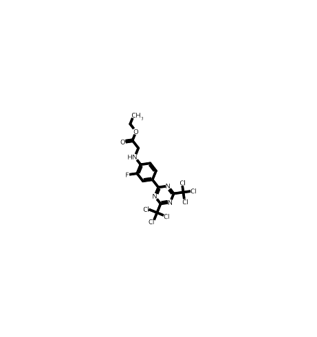 CCOC(=O)CNc1ccc(-c2nc(C(Cl)(Cl)Cl)nc(C(Cl)(Cl)Cl)n2)cc1F